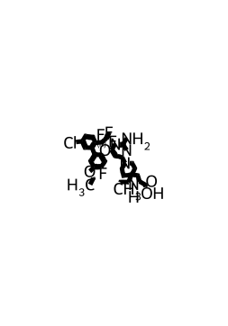 CCOc1cc(-c2cc(Cl)ccc2[C@@H](Oc2cc(N3CCC4(CC3)CC(C(=O)O)NC4CC)nc(N)n2)C(F)(F)F)ccc1F